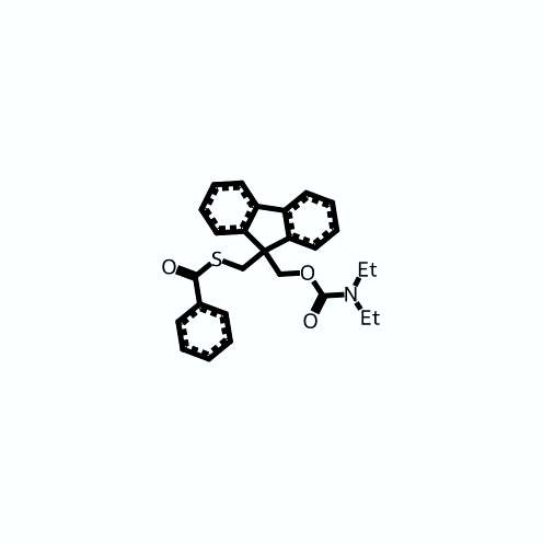 CCN(CC)C(=O)OCC1(CSC(=O)c2ccccc2)c2ccccc2-c2ccccc21